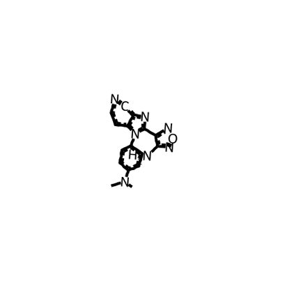 CN(C)c1ccc(-n2c(-c3nonc3N)nc3cnccc32)cc1